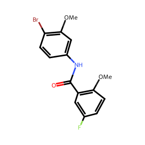 COc1cc(NC(=O)c2cc(F)ccc2OC)ccc1Br